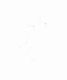 Cc1cc(-c2ncc(NC(=O)C(F)(F)F)o2)c(Cl)s1